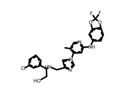 Cc1cnc(Nc2ccc3c(c2)OC(F)(F)O3)cc1-n1cnc(CNC(CO)c2cccc(Cl)c2)c1